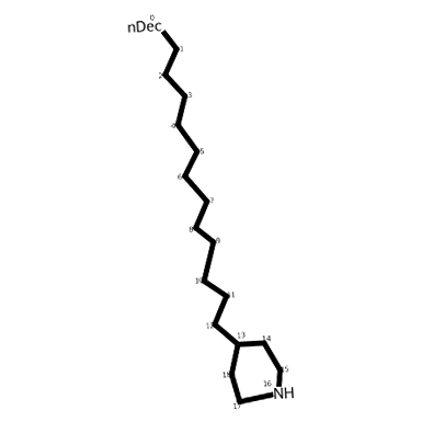 [CH2]CCCCCCCCCCCCCCCCCCCCCC1CCNCC1